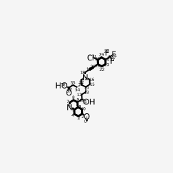 COc1ccc2nccc([C@H](O)CC[C@@H]3CCN(CC#Cc4ccc(C(F)(F)F)cc4Cl)C[C@H]3CCC(=O)O)c2c1